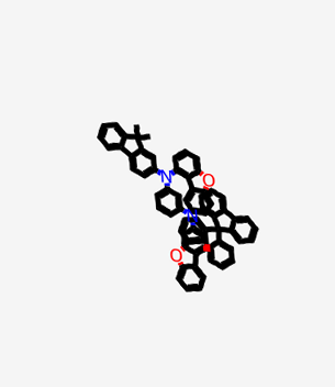 CC1(C)c2ccccc2-c2ccc(N(c3cccc(N(c4ccc5c(c4)oc4ccccc45)c4cccc5c4C(c4ccccc4)(c4ccccc4)c4ccccc4-5)c3)c3cccc4oc5ccccc5c34)cc21